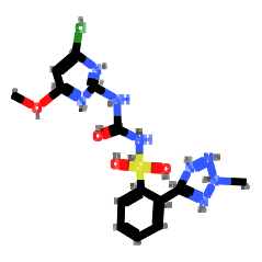 COc1cc(Cl)nc(NC(=O)NS(=O)(=O)c2ccccc2-c2nnn(C)n2)n1